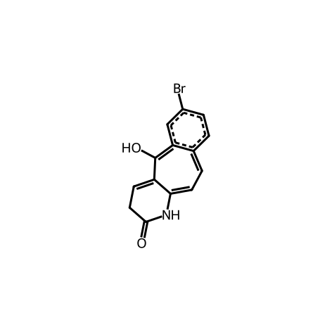 O=C1CC=C2C(=CC=c3ccc(Br)cc3=C2O)N1